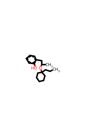 CCCC1(OC(C)Cc2ccccc2O)CCCCC1